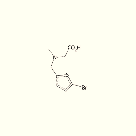 CN(CC(=O)O)Cc1ccc(Br)s1